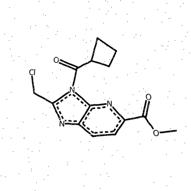 COC(=O)c1ccc2nc(CCl)n(C(=O)C3CCC3)c2n1